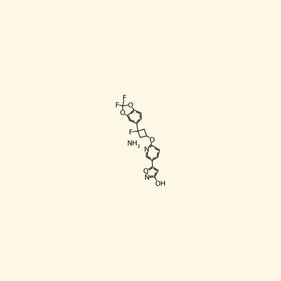 N.Oc1cc(-c2ccc(OC3CC(F)(c4ccc5c(c4)OC(F)(F)O5)C3)nc2)on1